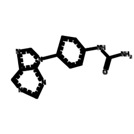 NC(=O)Nc1ccc(-n2cnc3cncnc32)cc1